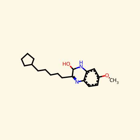 COc1ccc2c(c1)NC(O)C(CCCCCC1CCCC1)=N2